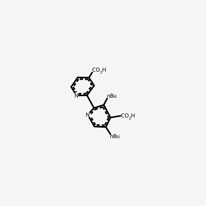 CCCCc1cnc(-c2cc(C(=O)O)ccn2)c(CCCC)c1C(=O)O